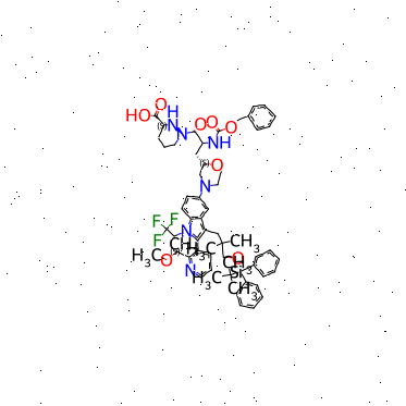 CO[C@@H](C)c1ncccc1-c1c(CC(C)(C)CO[Si](c2ccccc2)(c2ccccc2)C(C)(C)C)c2cc(N3CCO[C@@H](CC(NC(=O)OCc4ccccc4)C(=O)N4CCC[C@@H](C(=O)O)N4)C3)ccc2n1CC(F)(F)F